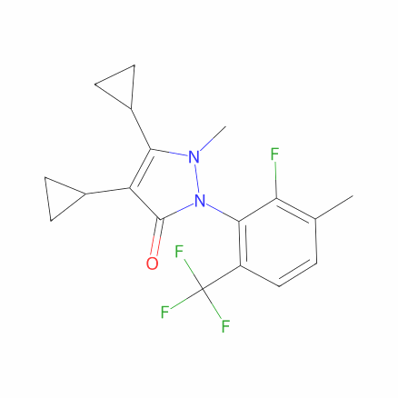 Cc1ccc(C(F)(F)F)c(-n2c(=O)c(C3CC3)c(C3CC3)n2C)c1F